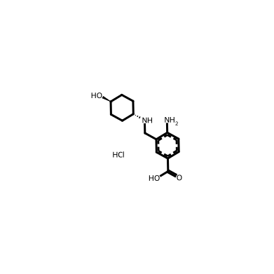 Cl.Nc1ccc(C(=O)O)cc1CN[C@H]1CC[C@H](O)CC1